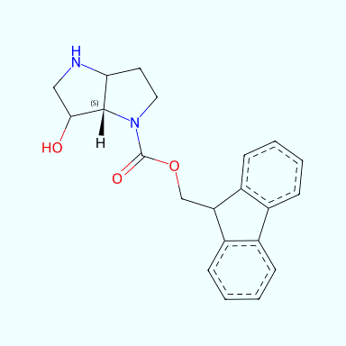 O=C(OCC1c2ccccc2-c2ccccc21)N1CCC2NCC(O)[C@H]21